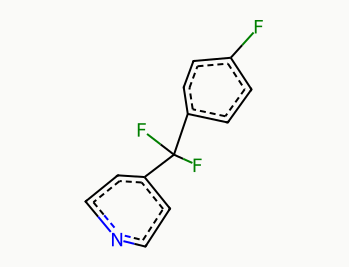 Fc1ccc(C(F)(F)c2ccncc2)cc1